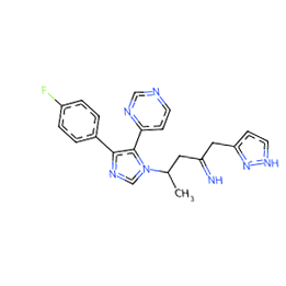 CC(CC(=N)Cc1cc[nH]n1)n1cnc(-c2ccc(F)cc2)c1-c1ccncn1